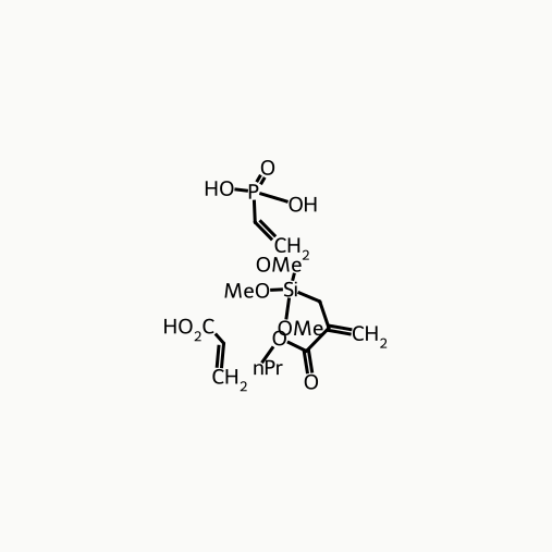 C=C(C[Si](OC)(OC)OC)C(=O)OCCC.C=CC(=O)O.C=CP(=O)(O)O